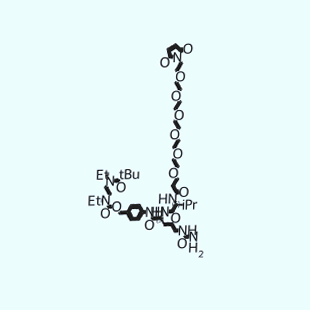 CCN(CCN(CC)C(=O)C(C)(C)C)C(=O)OCc1ccc(NC(=O)[C@H](CCCNC(N)=O)NC(=O)[C@@H](NC(=O)CCOCCOCCOCCOCCOCCOCCN2C(=O)C=CC2=O)C(C)C)cc1